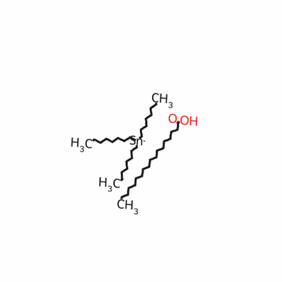 CCCCCCCCCCCCCCCCCC(=O)O.CCCCCCC[CH2][Sn]([CH2]CCCCCCC)[CH2]CCCCCCC